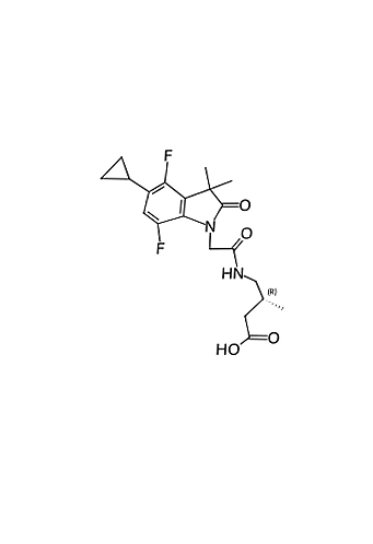 C[C@@H](CNC(=O)CN1C(=O)C(C)(C)c2c(F)c(C3CC3)cc(F)c21)CC(=O)O